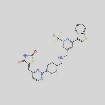 O=C1NC(=O)C(=Cc2ccnc(N3CCC(CNCc4cc(-c5csc6ccccc56)nc(C(F)(F)F)c4)CC3)n2)S1